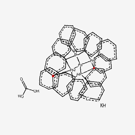 O=C(O)O.[KH].c1ccc([PH](c2ccccc2)(c2ccccc2)[Pd]([PH](c2ccccc2)(c2ccccc2)c2ccccc2)([PH](c2ccccc2)(c2ccccc2)c2ccccc2)[PH](c2ccccc2)(c2ccccc2)c2ccccc2)cc1